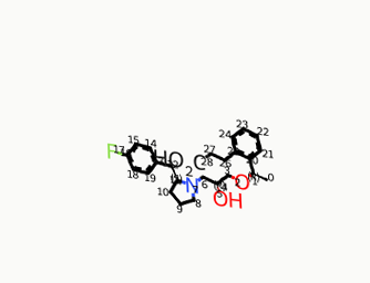 C[C@@H](OC[C@H](O)CN1CCC[C@H]1Cc1ccc(F)cc1)c1ccccc1CCC(=O)O